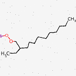 CCCCCCCCCCC(CC)COOI